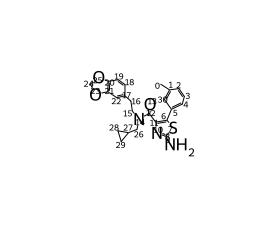 Cc1cccc(-c2sc(N)nc2C(=O)N(CCc2ccc3c(c2)OCO3)CC2CC2)c1